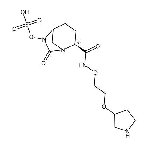 O=C(NOCCOC1CCNC1)[C@@H]1CCC2CN1C(=O)N2OS(=O)(=O)O